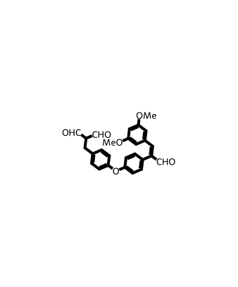 COc1cc(/C=C(/C=O)c2ccc(Oc3ccc(CC(C=O)C=O)cc3)cc2)cc(OC)c1